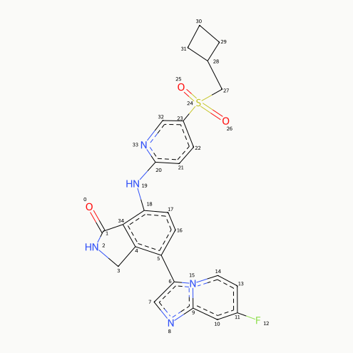 O=C1NCc2c(-c3cnc4cc(F)ccn34)ccc(Nc3ccc(S(=O)(=O)CC4CCC4)cn3)c21